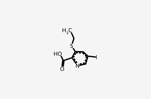 CCSc1cc(I)cnc1C(=O)O